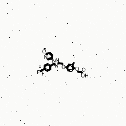 COc1ccc(-n2nc(COc3ccc(OCC(=O)O)c(C)c3)nc2-c2ccc(C(F)(F)F)cc2)cn1